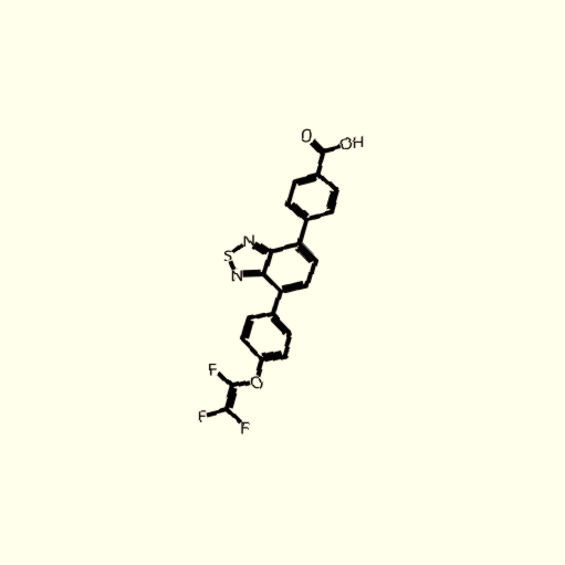 O=C(O)c1ccc(-c2ccc(-c3ccc(OC(F)=C(F)F)cc3)c3nsnc23)cc1